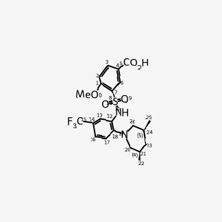 COc1ccc(C(=O)O)cc1S(=O)(=O)Nc1cc(C(F)(F)F)ccc1N1C[C@H](C)C[C@H](C)C1